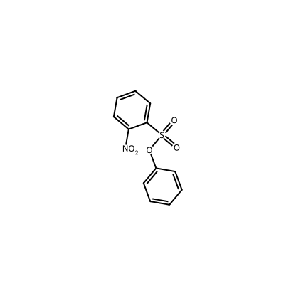 O=[N+]([O-])c1ccccc1S(=O)(=O)Oc1ccccc1